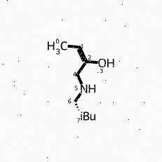 C/C=C(/O)CNC[C@@H](C)CC